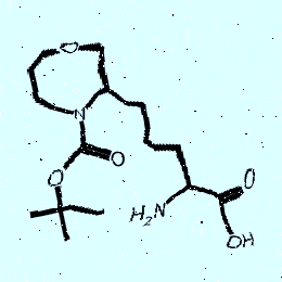 CC(C)(C)OC(=O)N1CCOCC1CCCC(N)C(=O)O